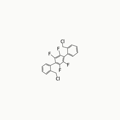 Fc1c(F)c(-c2ccccc2CCl)c(F)c(F)c1-c1ccccc1CCl